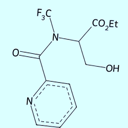 CCOC(=O)C(CO)N(C(=O)c1ccccn1)C(F)(F)F